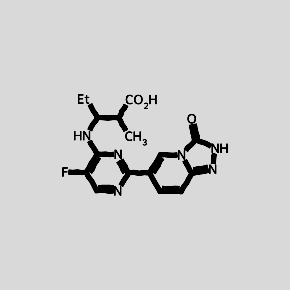 CCC(Nc1nc(-c2ccc3n[nH]c(=O)n3c2)ncc1F)C(C)C(=O)O